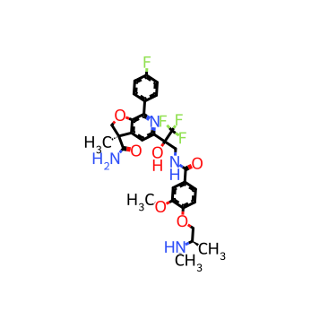 CN[C@H](C)COc1ccc(C(=O)NCC(O)(c2cc3c(c(-c4ccc(F)cc4)n2)OC[C@]3(C)C(N)=O)C(F)(F)F)cc1OC